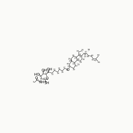 CC(=O)N[C@@H]1[C@@H](O)[C@@H](O)[C@@H](C(O)CCCCCCOC2CC[C@@]3(C)C(=CCC4C3CC[C@@]3(C)C4CC[C@@H]3[C@H](C)CCCC(C)C)C2)O[C@H]1S